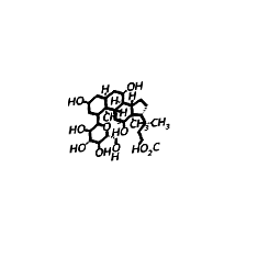 C[C@H](CCC(=O)O)[C@H]1CC[C@H]2[C@@H]3[C@H](O)C[C@@H]4C[C@H](O)CC(C5O[C@H](CO)[C@@H](O)[C@H](O)[C@H]5O)[C@]4(C)[C@H]3C[C@H](O)[C@]12C